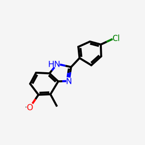 Cc1c([O])ccc2[nH]c(-c3ccc(Cl)cc3)nc12